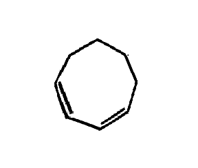 [CH]1C/C=C\C=C/CC1